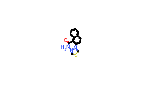 NC(=O)c1c(N2CSC=N2)ccc2ccccc12